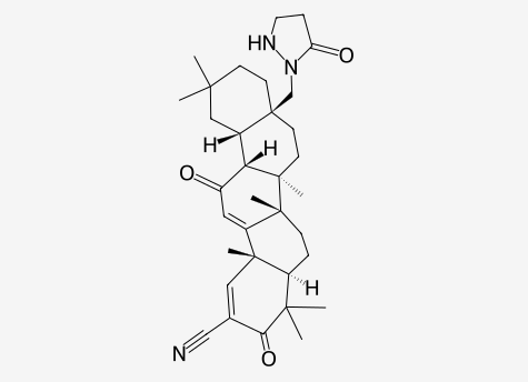 CC1(C)CC[C@]2(CN3NCCC3=O)CC[C@]3(C)[C@H](C(=O)C=C4[C@@]5(C)C=C(C#N)C(=O)C(C)(C)[C@@H]5CC[C@]43C)[C@@H]2C1